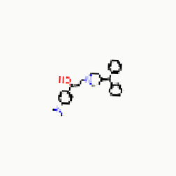 CN(C)c1ccc(C(O)CCN2CCC(=C(c3ccccc3)c3ccccc3)CC2)cc1